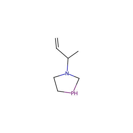 C=CC(C)N1CCPC1